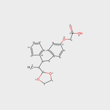 CC(C1OCCO1)C(Cc1ccc(OCC(=O)O)cc1)c1ccccc1